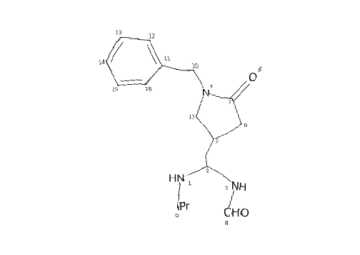 CC(C)NC(NC=O)C1CC(=O)N(Cc2ccccc2)C1